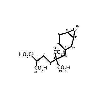 O=C(O)C(CCC(CC1CCC2OC2C1)(C(=O)O)C(=O)O)C(=O)O